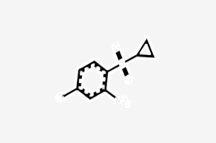 O=[N+]([O-])c1cc(Cl)ccc1S(=O)(=O)C1CC1